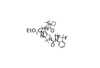 CCOC(=O)n1nc2c(c1NC(=O)C1([Si](C)(C)C)CCC1)CN(C(=O)Nc1ccccc1C(C)(F)F)C2(C)C